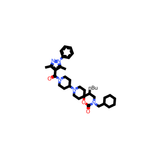 CCCCC1CN(CC2CCCCC2)C(=O)OC12CCN(C1CCN(C(=O)c3c(C)nn(-c4ccccc4)c3C)CC1)CC2